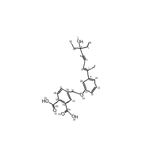 CCC(O)(C#CC=C(C)c1cccc(OCc2ccc(C(=O)O)c(C(=O)O)c2)c1)CC